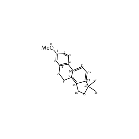 COc1ccc2c(c1)CCc1c-2ccc2c1CCC2(C)C